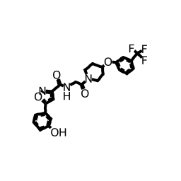 O=C(NCC(=O)N1CCC(Oc2cccc(C(F)(F)F)c2)CC1)c1cc(-c2cccc(O)c2)on1